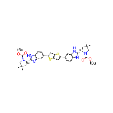 CC1(C)C[C@@H](c2nc3cc(-c4cc5sc(-c6ccc7nc([C@@H]8CC(C)(C)CN8C(=O)OC(C)(C)C)[nH]c7c6)cc5s4)ccc3[nH]2)N(C(=O)OC(C)(C)C)C1